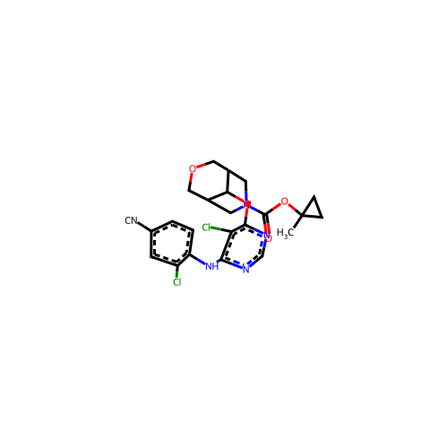 [C-]#[N+]c1ccc(Nc2ncnc(OC3C4COCC3CN(C(=O)OC3(C)CC3)C4)c2Cl)c(Cl)c1